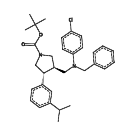 CC(C)c1cccc([C@@H]2CN(C(=O)OC(C)(C)C)C[C@H]2CN(Cc2ccccc2)c2ccc(Cl)cc2)c1